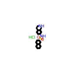 Cl.O=S(=O)(Nc1ccc2c(c1)CNCC2)c1ccc2ccccc2c1